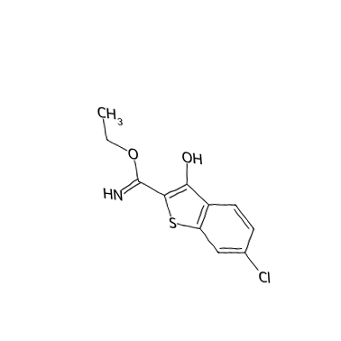 CCOC(=N)c1sc2cc(Cl)ccc2c1O